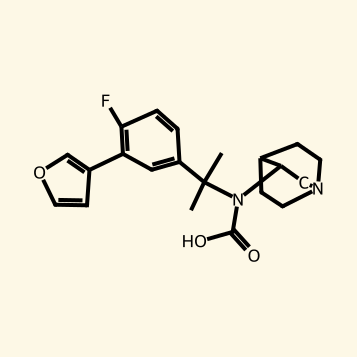 CC(C)(c1ccc(F)c(-c2ccoc2)c1)N(C(=O)O)C1CN2CCC1CC2